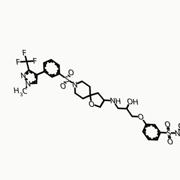 CNS(=O)(=O)c1cccc(OCC(O)CNC2COC3(CCN(S(=O)(=O)c4cccc(-c5cn(C)nc5C(F)(F)F)c4)CC3)C2)c1